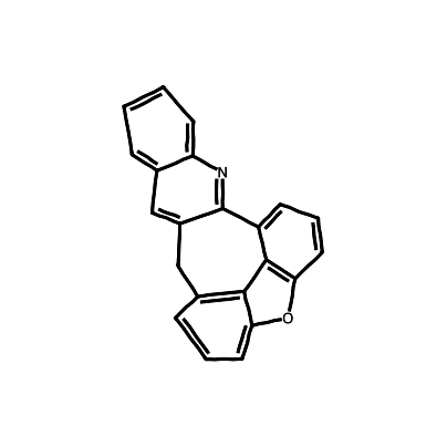 c1ccc2nc3c(cc2c1)Cc1cccc2oc4cccc-3c4c12